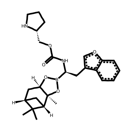 CC1(C)[C@@H]2C[C@H]3OB([C@H](Cc4coc5ccccc45)NC(=O)OC[C@H]4CCCN4)O[C@@]3(C)[C@H]1C2